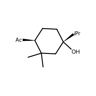 CC(=O)[C@H]1CC[C@@](O)(C(C)C)CC1(C)C